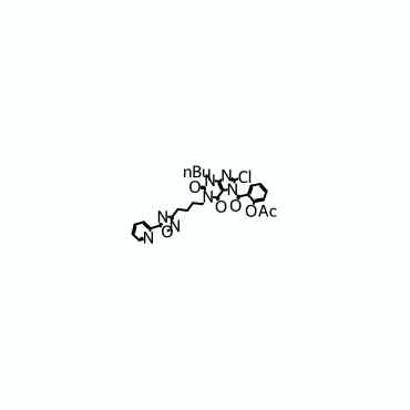 CCCCn1c(=O)n(CCCCc2noc(-c3ccccn3)n2)c(=O)c2c1nc(Cl)n2C(=O)c1ccccc1OC(C)=O